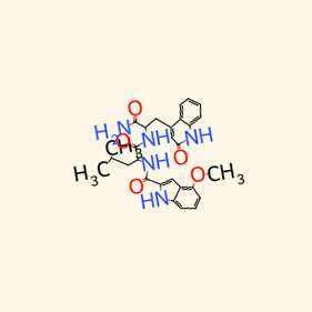 COc1cccc2[nH]c(C(=O)NC(CC(C)C)C(=O)NC(Cc3cc(=O)[nH]c4ccccc34)C(N)=O)cc12